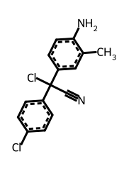 Cc1cc(C(Cl)(C#N)c2ccc(Cl)cc2)ccc1N